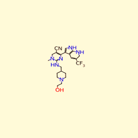 CN1CC(C#N)=C(c2c[nH]c3c2C=C(C(F)(F)F)CN3)N=C1NCC1CCN(CCO)CC1